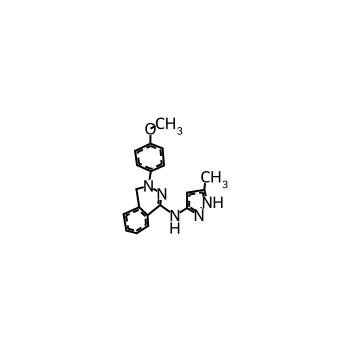 COc1ccc(N2Cc3ccccc3C(Nc3cc(C)[nH]n3)=N2)cc1